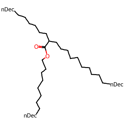 CCCCCCCCCCCCCCCCCCCCC(CCCCCCCCCCCCCCCC)C(=O)OCCCCCCCCCCCCCCCCCC